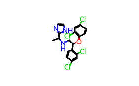 CC(NCC(Oc1ccc(Cl)cc1Cl)c1ccc(Cl)cc1Cl)c1ncc[nH]1